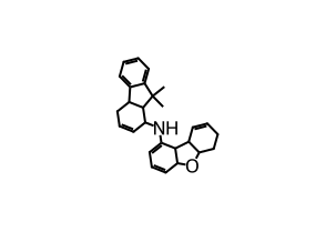 CC1(C)c2ccccc2C2CC=CC(NC3=CC=CC4OC5CCC=CC5C34)C21